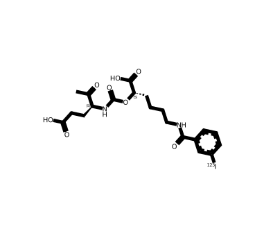 CC(=O)[C@H](CCC(=O)O)NC(=O)O[C@@H](CCCCNC(=O)c1cccc([123I])c1)C(=O)O